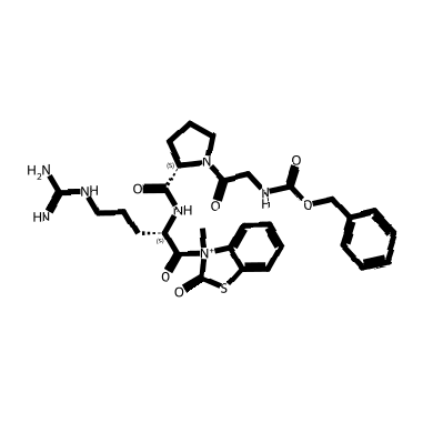 C[N+]1(C(=O)[C@H](CCCNC(=N)N)NC(=O)[C@@H]2CCCN2C(=O)CNC(=O)OCc2ccccc2)C(=O)Sc2ccccc21